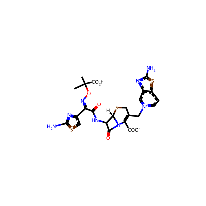 CC(C)(O/N=C(\C(=O)NC1C(=O)N2C(C(=O)[O-])=C(C[n+]3ccc4sc(N)nc4c3)CS[C@@H]12)c1csc(N)n1)C(=O)O